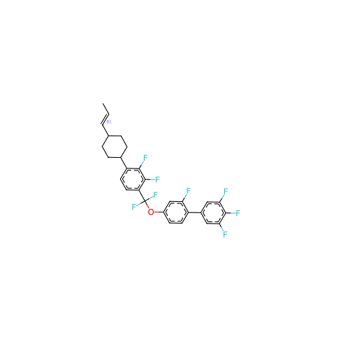 C/C=C/C1CCC(c2ccc(C(F)(F)Oc3ccc(-c4cc(F)c(F)c(F)c4)c(F)c3)c(F)c2F)CC1